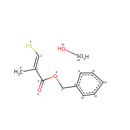 CC(=CS)C(=O)OCc1ccccc1.O=S(=O)(O)O